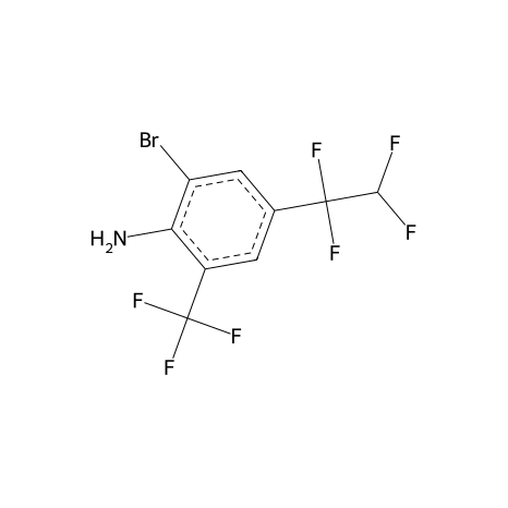 Nc1c(Br)cc(C(F)(F)C(F)F)cc1C(F)(F)F